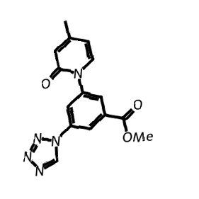 COC(=O)c1cc(-n2cnnn2)cc(-n2ccc(C)cc2=O)c1